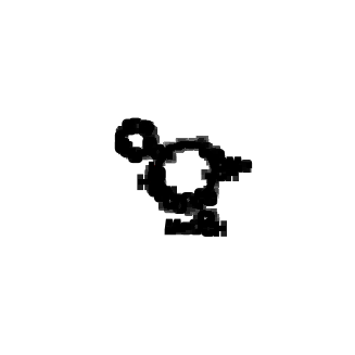 CO[C@@H]1C[C@H](C[C@@H](C)[C@@H]2CC(=O)[C@H](C)/C=C(\C)[C@@H](O)[C@@H](OC)C(=O)[C@H](C)C[C@H](C)/C=C/C=C/C=C(\C)[C@H](OCC3COCCOCCOCCOCCO3)C[C@@H]3CC[C@@H](C)[C@@](O)(O3)C(=O)C(=O)N3CCCCC3C(=O)O2)CC[C@H]1O